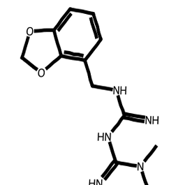 CN(C)C(=N)NC(=N)NCc1cccc2c1OCO2